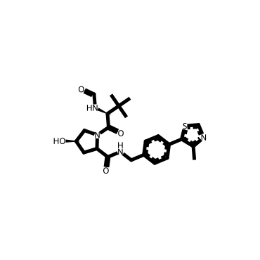 Cc1ncsc1-c1ccc(CNC(=O)C2C[C@@H](O)CN2C(=O)[C@@H](NC=O)C(C)(C)C)cc1